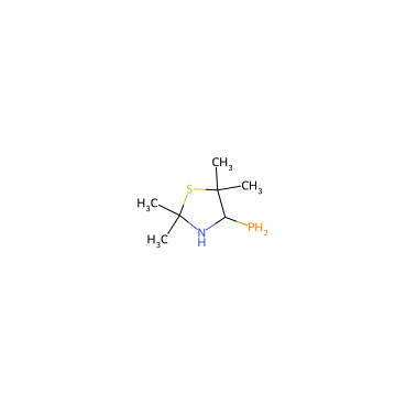 CC1(C)NC(P)C(C)(C)S1